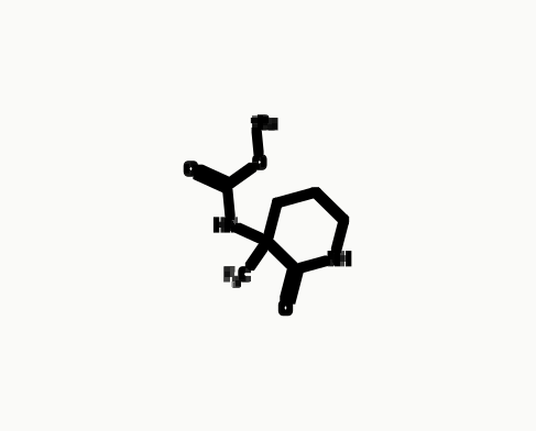 CC(C)(C)OC(=O)NC1(C(F)(F)F)CCCNC1=O